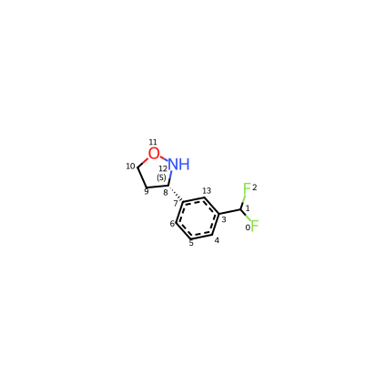 FC(F)c1cccc([C@@H]2CCON2)c1